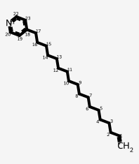 C=CCCCCCCCCCCCCCCCCc1ccncc1